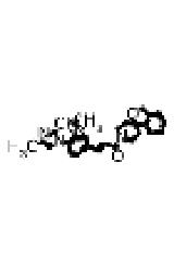 COc1cc(C=CC(=O)N2CCC3(CC2)OCc2ccccc23)ccc1-n1cc(C)nc1C